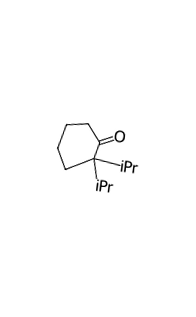 CC(C)C1(C(C)C)CCCCC1=O